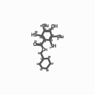 CC(C)(C)c1c(O)c(C(C)(C)C)c(S)c(C(=O)OCC2CCCCC2)c1S